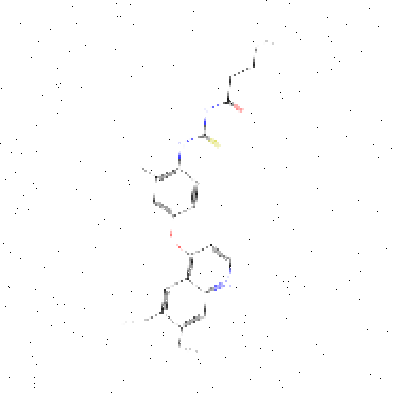 COc1cc2nccc(Oc3ccc(NC(=S)NC(=O)CCSC)c(C)c3)c2cc1OC